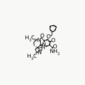 CC1=NO[C@@]2(CC[C@H](C)N3C[C@H]2n2cc(C(N)=O)c(=O)c(OCc4ccccc4)c2C3=O)C1